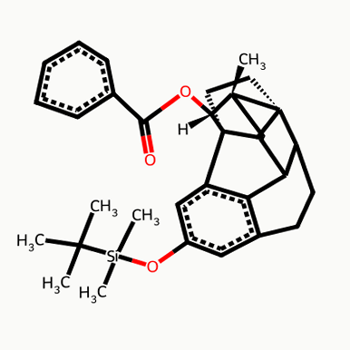 CC(C)(C)[Si](C)(C)Oc1cc2c3c(c1)[C@]14CC[C@@]5(C1)C(CC2)C3CC[C@]5(C)[C@H]4OC(=O)c1ccccc1